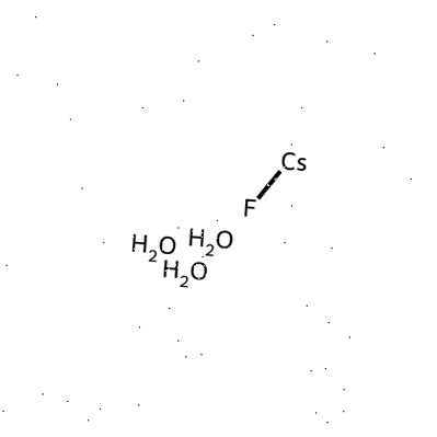 O.O.O.[F][Cs]